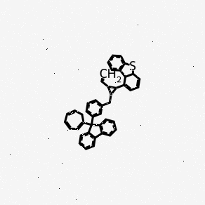 C=CC1C(Cc2cccc(C3(C4=CC=CC=CC4)c4ccccc4-c4ccccc43)c2)C1C1=CC=CC2Sc3ccccc3C12